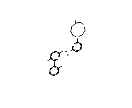 Cc1ccccc1-c1nc(N[S+]([O-])c2cccc(N3CCCC(F)CNCC3)n2)ccc1C(F)(F)F